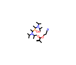 C=C(C)C(=O)OCCC#N.CC(C)N(C(C)C)C(C)P(O)C(C)N(C(C)C)C(C)C